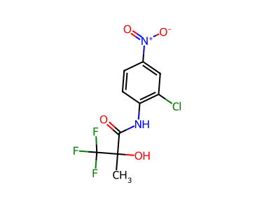 CC(O)(C(=O)Nc1ccc([N+](=O)[O-])cc1Cl)C(F)(F)F